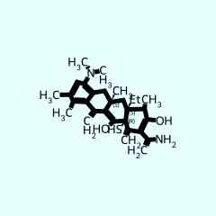 C=C(N)C1=C(O)C(C)[C@]2(CC)C[C@]3(C)Cc4c(N(C)C)cc(C)c(C)c4C(=C)C3=C(O)[C@]2(S)C1=C